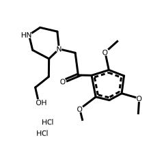 COc1cc(OC)c(C(=O)CN2CCNCC2CCO)c(OC)c1.Cl.Cl